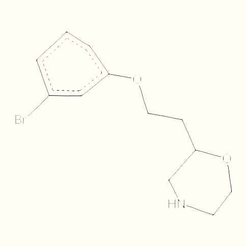 Brc1cccc(OCCC2CNCCO2)c1